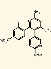 CNc1ccc(-c2c(C)nc(N)nc2-c2ccc(C(=O)O)cc2F)cn1